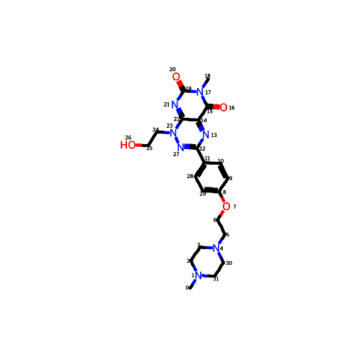 CN1CCN(CCOc2ccc(-c3nc4c(=O)n(C)c(=O)nc-4n(CCO)n3)cc2)CC1